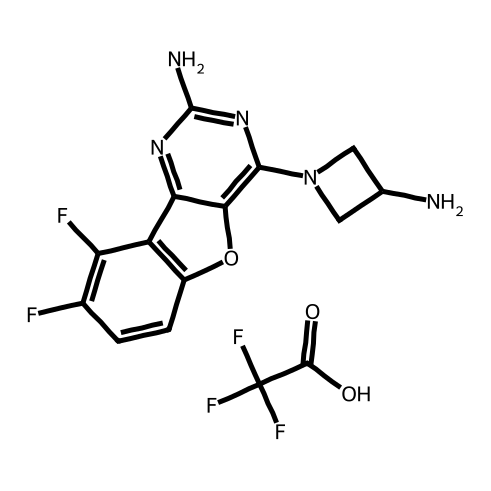 Nc1nc(N2CC(N)C2)c2oc3ccc(F)c(F)c3c2n1.O=C(O)C(F)(F)F